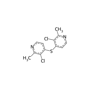 Cc1nccc(Sc2ccnc(C)c2Cl)c1Cl